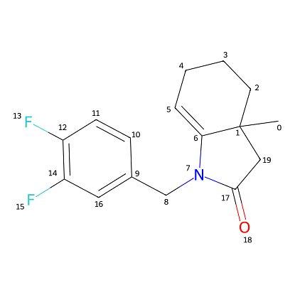 CC12CCCC=C1N(Cc1ccc(F)c(F)c1)C(=O)C2